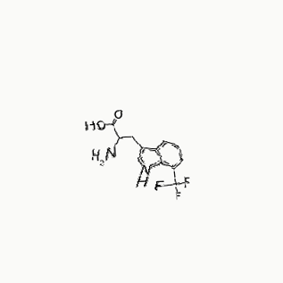 NC(Cc1c[nH]c2c(C(F)(F)F)cccc12)C(=O)O